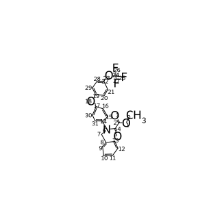 COC(=O)C(=O)N(Cc1ccccc1)c1ccc(Oc2ccc(OC(F)(F)F)cc2)cc1